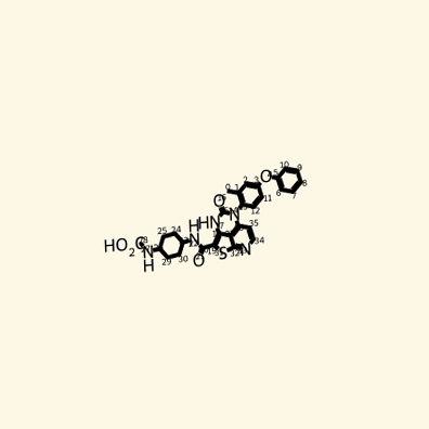 Cc1cc(Oc2ccccc2)ccc1N1C(=O)Nc2c(C(=O)NC3CCC(NC(=O)O)CC3)sc3nccc1c23